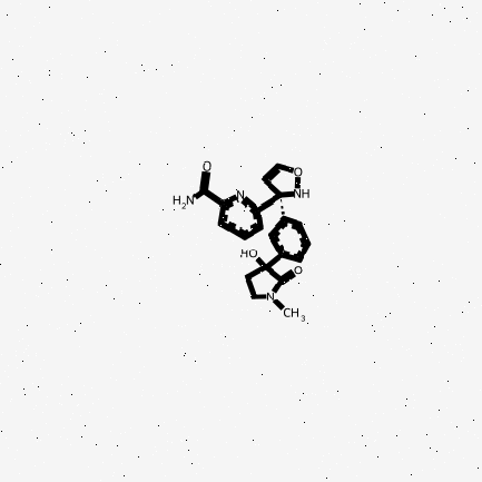 CN1CCC(O)(c2cccc([C@]3(c4cccc(C(N)=O)n4)C=CON3)c2)C1=O